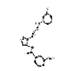 COc1cccc(C(=O)Nc2nonc2/C=N/ONc2cccc(Cl)c2)c1